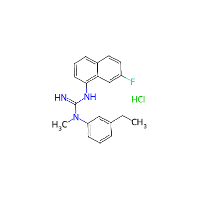 CCc1cccc(N(C)C(=N)Nc2cccc3ccc(F)cc23)c1.Cl